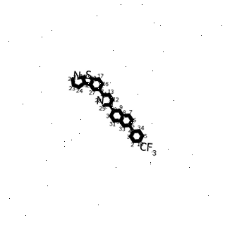 FC(F)(F)c1ccc(-c2ccc3cc(-c4ccc(-c5ccc6sc7ncccc7c6c5)nc4)ccc3c2)cc1